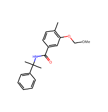 COCOc1cc(C(=O)NC(C)(C)c2ccccc2)ccc1C